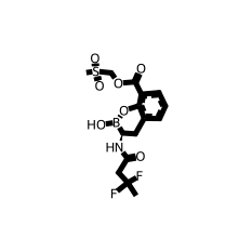 CC(F)(F)CC(=O)N[C@H]1Cc2cccc(C(=O)OCS(C)(=O)=O)c2OB1O